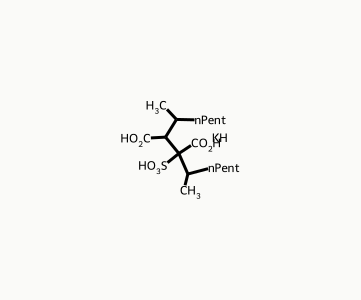 CCCCCC(C)C(C(=O)O)C(C(=O)O)(C(C)CCCCC)S(=O)(=O)O.[KH]